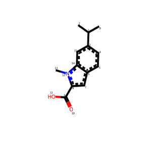 CC(C)c1ccc2cc(C(=O)O)n(C)c2c1